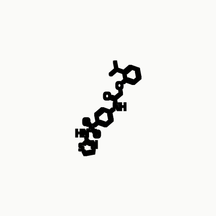 CC(C)c1ccccc1OCC(=O)Nc1ccc(S(=O)(=O)Nc2nccs2)cc1